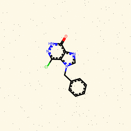 O=c1[nH]nc(Cl)c2c1ncn2Cc1ccccc1